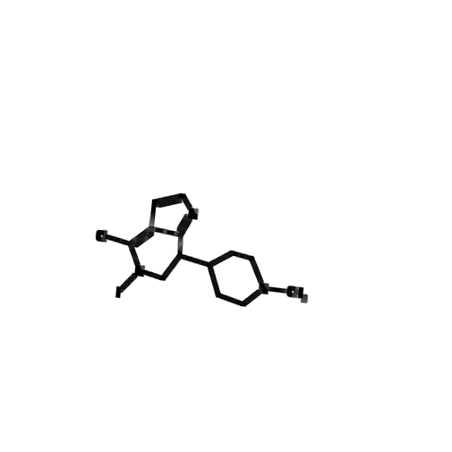 CN1CCC(C2CN(I)C(Cl)=C3C=CN=C32)CC1